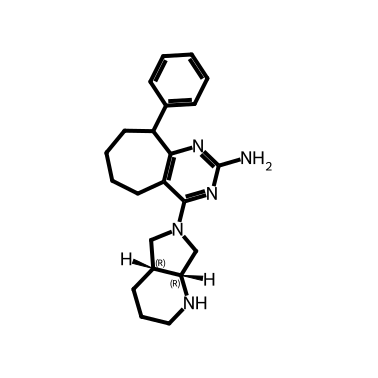 Nc1nc2c(c(N3C[C@H]4CCCN[C@H]4C3)n1)CCCCC2c1ccccc1